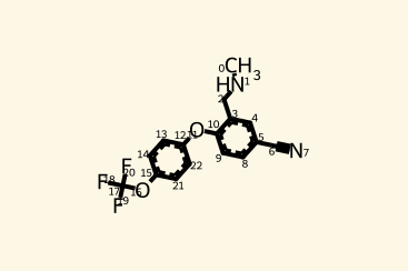 CNCc1cc(C#N)ccc1Oc1ccc(OC(F)(F)F)cc1